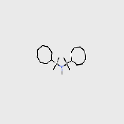 CN([Si](C)(C)C1CCCCCCC1)[Si](C)(C)C1CCCCCCC1